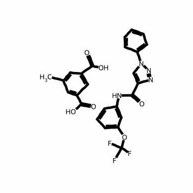 Cc1cc(C(=O)O)cc(C(=O)O)c1.O=C(Nc1cccc(OC(F)(F)F)c1)c1cn(-c2ccccc2)nn1